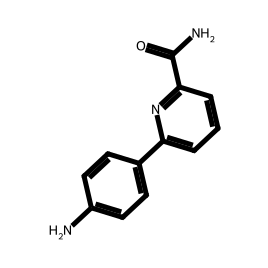 NC(=O)c1cccc(-c2ccc(N)cc2)n1